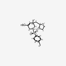 CCCCC1=C[C@](C)(CC2OCCO2)CN(S(=O)(=O)c2ccc(C)cc2)C1